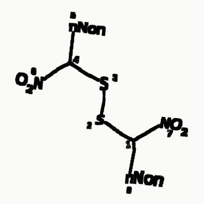 CCCCCCCCCC(SSC(CCCCCCCCC)[N+](=O)[O-])[N+](=O)[O-]